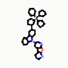 c1ccc([Si](c2ccccc2)(c2ccccc2)c2cccc(-c3ccc4c(c3)c3ccccc3n4-c3cnc4oc5ncccc5c4c3)c2)cc1